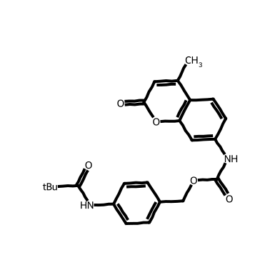 Cc1cc(=O)oc2cc(NC(=O)OCc3ccc(NC(=O)C(C)(C)C)cc3)ccc12